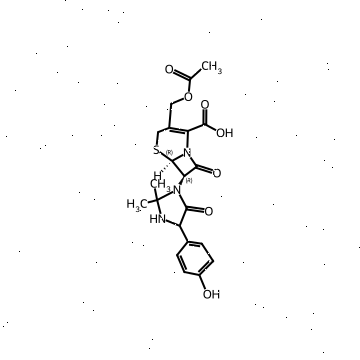 CC(=O)OCC1=C(C(=O)O)N2C(=O)[C@@H](N3C(=O)C(c4ccc(O)cc4)NC3(C)C)[C@H]2SC1